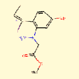 C/C=C(/I)c1ccc(O)cc1N(N)CC(=O)OC(C)(C)C